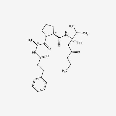 CCCC(=O)C[C@@](O)(NC(=O)[C@@H]1CCCN1C(=O)[C@H](C)NC(=O)OCc1ccccc1)C(C)C